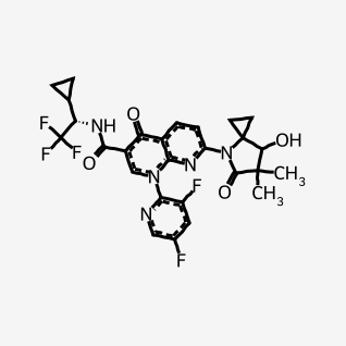 CC1(C)C(=O)N(c2ccc3c(=O)c(C(=O)N[C@@H](C4CC4)C(F)(F)F)cn(-c4ncc(F)cc4F)c3n2)C2(CC2)C1O